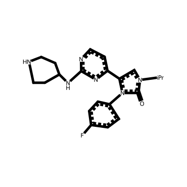 CC(C)n1cc(-c2ccnc(NC3CCNCC3)n2)n(-c2ccc(F)cc2)c1=O